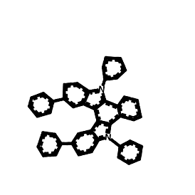 c1ccc(-c2ccc3c(c2)c2c4c5cc(-c6ccccc6)ccc5n(-c5ccccc5)c4c4ccccc4c2n3-c2ccccc2)cc1